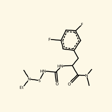 CCN(C)SNC(=O)NC(Cc1cc(F)cc(F)c1)C(=O)N(C)C